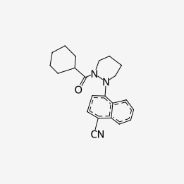 N#Cc1ccc(N2CCCCN2C(=O)C2CCCCC2)c2ccccc12